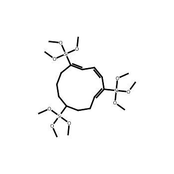 CO[Si](OC)(OC)C1=C\CCC([Si](OC)(OC)OC)CCC/C([Si](OC)(OC)OC)=C/C=C\1